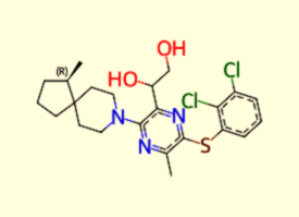 Cc1nc(N2CCC3(CCC[C@H]3C)CC2)c(C(O)CO)nc1Sc1cccc(Cl)c1Cl